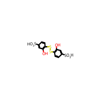 O=S(=O)(O)c1ccc(SSc2ccc(S(=O)(=O)O)cc2O)c(O)c1